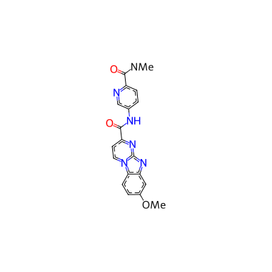 CNC(=O)c1ccc(NC(=O)c2ccn3c(n2)nc2cc(OC)ccc23)cn1